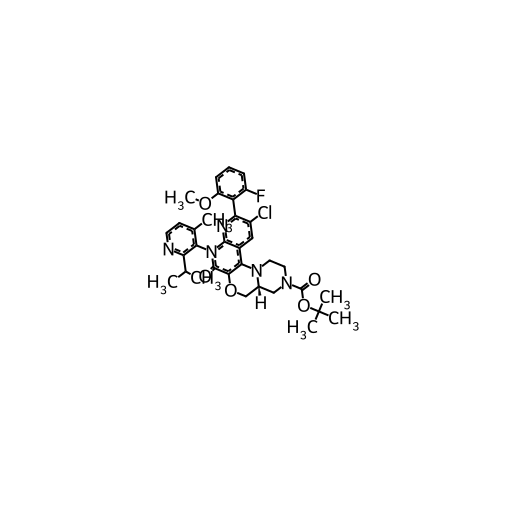 COc1cccc(F)c1-c1nc2c(cc1Cl)c1c(c(=O)n2-c2c(C)ccnc2C(C)C)OC[C@H]2CN(C(=O)OC(C)(C)C)CCN12